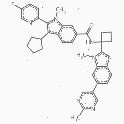 Cc1ncc(-c2ccc3nc(C4(NC(=O)c5ccc6c(C7CCCC7)c(-c7ccc(F)cn7)n(C)c6c5)CCC4)n(C)c3c2)cn1